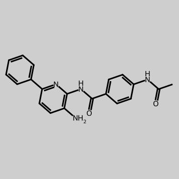 CC(=O)Nc1ccc(C(=O)Nc2nc(-c3ccccc3)ccc2N)cc1